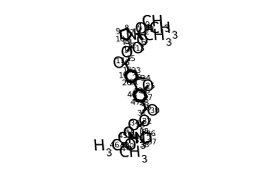 CC(C)(C)OC(=O)N1CCC[C@H]1C(=O)OCC(=O)c1ccc2c(c1)COc1cc(C(=O)COC(=O)[C@@H]3CCCN3C(=O)OC(C)(C)C)ccc1-2